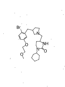 COCCOc1ccc(Br)c(CC2CCN(CC3CCN(C4CCCCC4)C(=O)N3)C2)c1